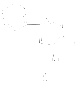 O=CNc1cc(-c2ccccc2)nnc1Cl